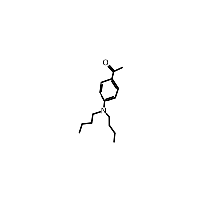 CCCCN(CCCC)c1ccc(C(C)=O)cc1